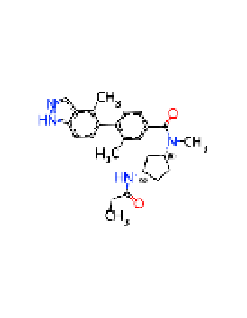 CCC(=O)N[C@H]1CC[C@@H](N(C)C(=O)c2ccc(-c3ccc4[nH]ncc4c3C)c(C)c2)C1